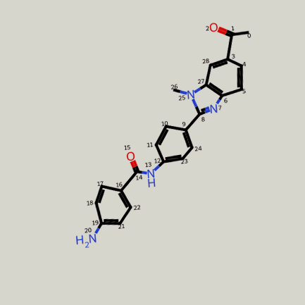 CC(=O)c1ccc2nc(-c3ccc(NC(=O)c4ccc(N)cc4)cc3)n(C)c2c1